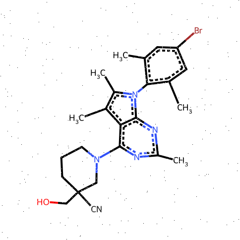 Cc1nc(N2CCCC(C#N)(CO)C2)c2c(C)c(C)n(-c3c(C)cc(Br)cc3C)c2n1